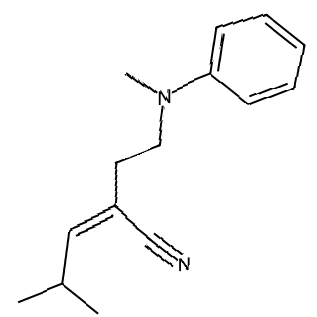 CC(C)C=C(C#N)CCN(C)c1ccccc1